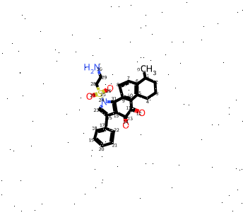 CC1CCCc2c1ccc1c2C(=O)C(=O)c2c(-c3ccccc3)cn(S(=O)(=O)CCN)c2-1